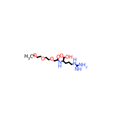 COCCOCCOCC(=O)NC(CCCNC(=N)N)C(=O)O